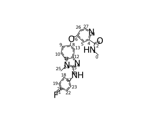 CNC(=O)c1cc(Oc2ccc3c(c2)nc(Nc2ccc(F)cc2)n3C)ccn1